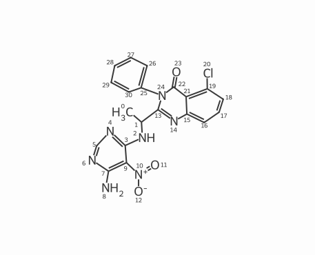 CC(Nc1ncnc(N)c1[N+](=O)[O-])c1nc2cccc(Cl)c2c(=O)n1-c1ccccc1